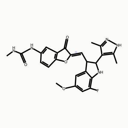 CNC(=O)Nc1ccc2c(c1)C(=O)/C(=C/C1c3cc(OC)cc(F)c3NC1c1c(C)n[nH]c1C)O2